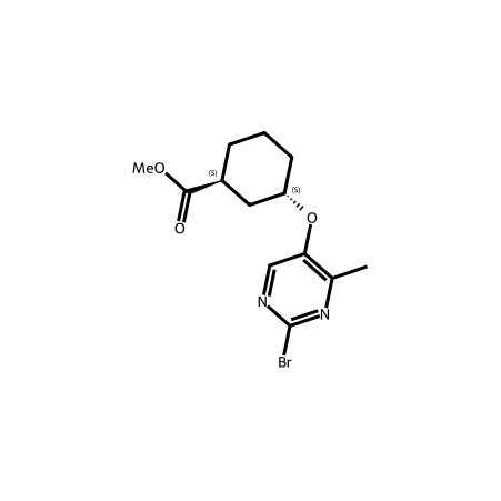 Cc1nc(Br)ncc1O[C@H]1CCC[C@H](C(=O)O[11CH3])C1